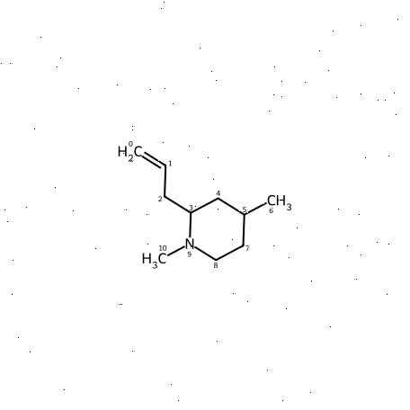 C=CCC1CC(C)CCN1C